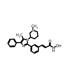 Cc1c(-c2ccccc2)nc(-c2cccc(C=CC(=O)NO)c2)n1C1CCCN(C)C1